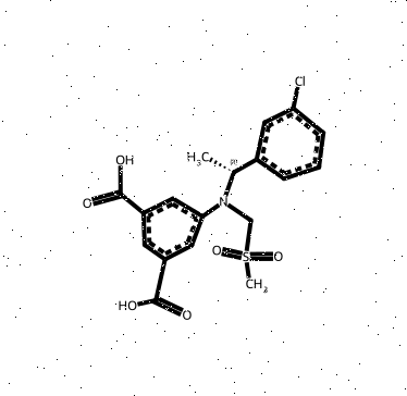 C[C@H](c1cccc(Cl)c1)N(CS(C)(=O)=O)c1cc(C(=O)O)cc(C(=O)O)c1